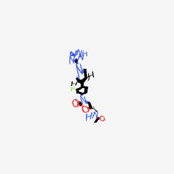 CC(=O)NC[C@H]1CN(c2ccc(C3[C@H]4CN(c5nn[nH]n5)C[C@@H]34)c(F)c2)C(=O)O1